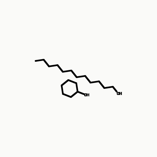 CCCCCCCCCCCCO.OC1CCCCC1